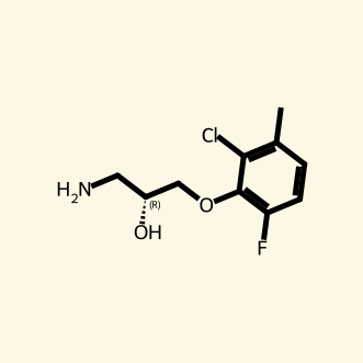 Cc1ccc(F)c(OC[C@H](O)CN)c1Cl